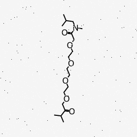 CC(C)CN(C)C(=O)COCCOCCOCCOCC(=O)C(C)C